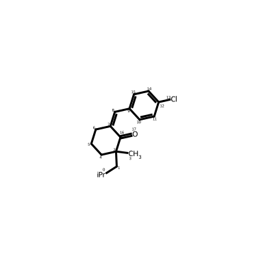 CC(C)CC1(C)CCCC(=Cc2ccc(Cl)cc2)C1=O